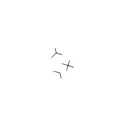 CC(Cl)(Cl)Cl.CC(Cl)Cl.ClCCl